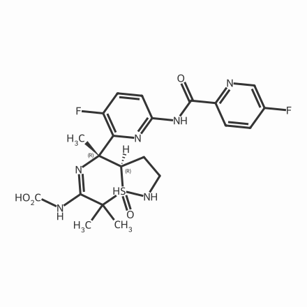 CC1(C)C(NC(=O)O)=N[C@](C)(c2nc(NC(=O)c3ccc(F)cn3)ccc2F)[C@H]2CCN[SH]21=O